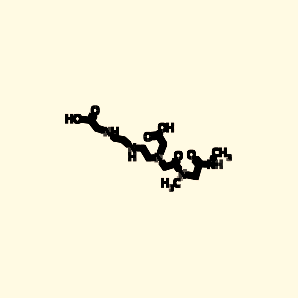 CNC(=O)CN(C)C(=O)CN(CCNCCNCC(=O)O)CC(=O)O